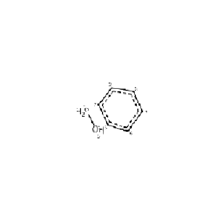 OP.c1ccccc1